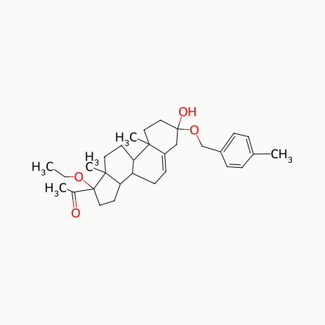 CCOC1(C(C)=O)CCC2C3CC=C4CC(O)(OCc5ccc(C)cc5)CCC4(C)C3CCC21C